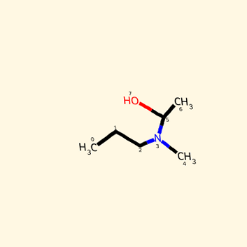 CCCN(C)C(C)O